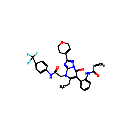 C=CC(=O)Nc1ccccc1-c1c(CC)n(CC(=O)Nc2ccc(C(F)(F)F)cc2)c2nc(C3=CCOCC3)nn2c1=O